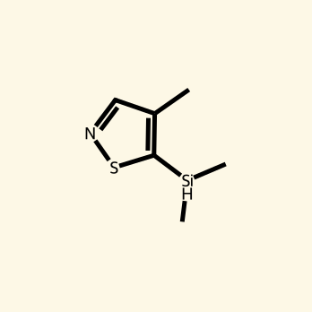 Cc1cnsc1[SiH](C)C